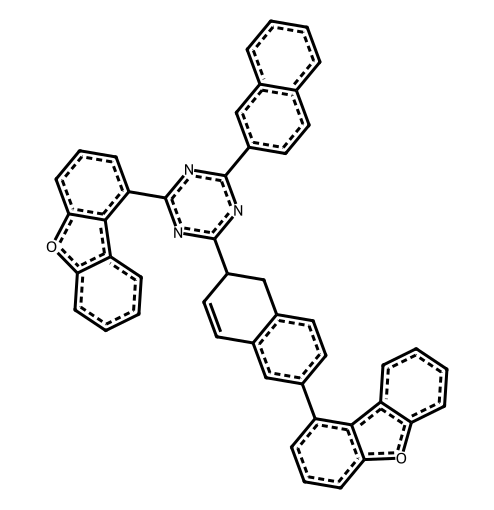 C1=CC(c2nc(-c3ccc4ccccc4c3)nc(-c3cccc4oc5ccccc5c34)n2)Cc2ccc(-c3cccc4oc5ccccc5c34)cc21